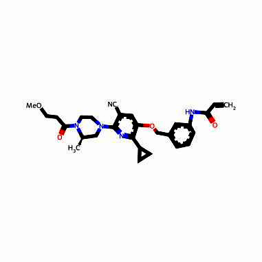 C=CC(=O)Nc1cccc(COc2cc(C#N)c(N3CCN(C(=O)CCOC)[C@H](C)C3)nc2C2CC2)c1